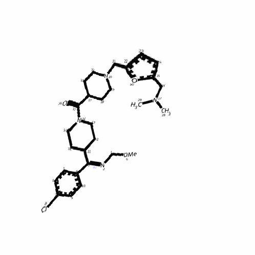 COC/N=C(/c1ccc(Cl)cc1)C1CCN(C(=O)C2CCN(Cc3ccc(CN(C)C)o3)CC2)CC1